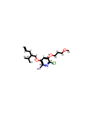 C=CCC(COc1cc(OCCCOC)c(Cl)nc1I)C(C)C